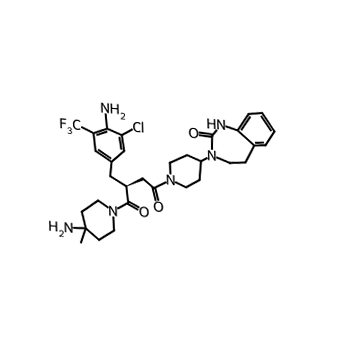 CC1(N)CCN(C(=O)[C@H](CC(=O)N2CCC(N3CCc4ccccc4NC3=O)CC2)Cc2cc(Cl)c(N)c(C(F)(F)F)c2)CC1